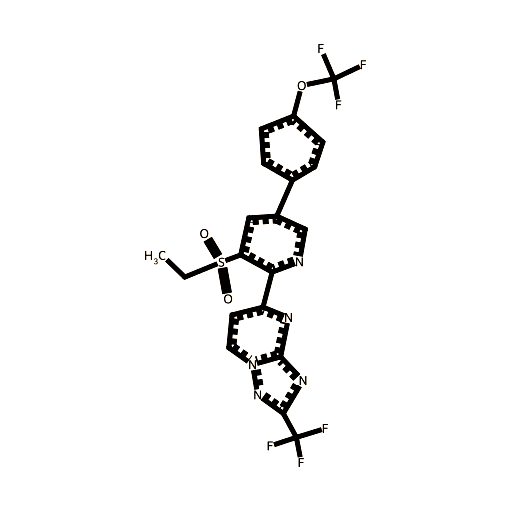 CCS(=O)(=O)c1cc(-c2ccc(OC(F)(F)F)cc2)cnc1-c1ccn2nc(C(F)(F)F)nc2n1